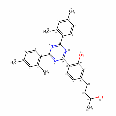 Cc1ccc(-c2nc(-c3ccc(C)cc3C)nc(-c3ccc(CCC(C)O)cc3O)n2)c(C)c1